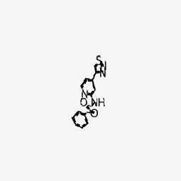 O=S(=O)(Nc1cc(-c2csnn2)ccn1)c1ccccc1